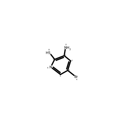 Nc1cc(Br)cnc1S